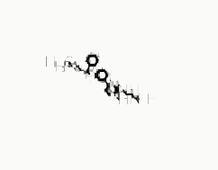 CNCCNc1nccc(-c2cccc(O[C@@H](CCNC)c3ccccc3)c2)n1